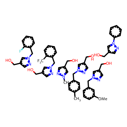 COc1cccc(Cn2cc(CO)cn2)c1.Cc1ccc(Cn2cc(CO)cn2)cc1.Cn1cc(CO)cn1.OCc1cnn(-c2ccccc2)c1.OCc1cnn(Cc2ccccc2C(F)(F)F)c1.OCc1cnn(Cc2ccccc2F)c1